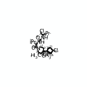 C[C](C)C(CCl)NC(=O)N[C@@H](C(=O)N1CC[C@](O)(c2ccc(Cl)cc2)C(C)(C)C1)C(C)C